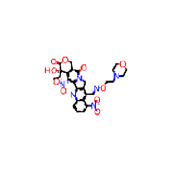 CC[C@@]1(O)C(=O)OCc2c1c([N+](=O)[O-])c1n(c2=O)Cc2c-1nc1cccc([N+](=O)[O-])c1c2/C=N/OCCN1CCOCC1